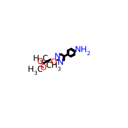 COC(=O)C(C)(C)COc1ncc(-c2ccc(N)cc2)cn1